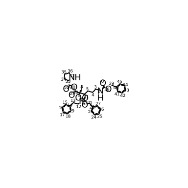 O=C(NCCCCC(I)(OP(=O)(CCc1ccccc1)OCc1ccccc1)C(=O)OC(=O)[C@@H]1CCCN1)OCc1ccccc1